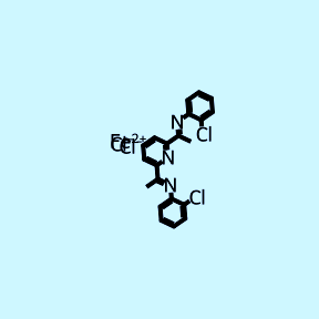 CC(=Nc1ccccc1Cl)c1cccc(C(C)=Nc2ccccc2Cl)n1.[Cl-].[Cl-].[Fe+2]